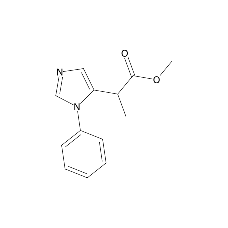 COC(=O)C(C)c1cncn1-c1ccccc1